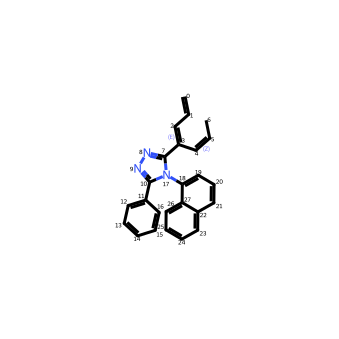 C=C/C=C(\C=C/C)c1nnc(-c2ccccc2)n1-c1cccc2ccccc12